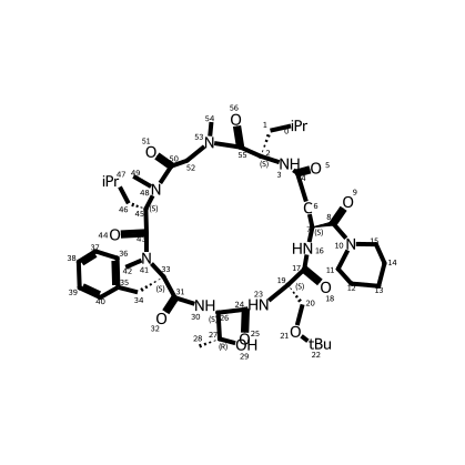 CC(C)C[C@@H]1NC(=O)C[C@@H](C(=O)N2CCCCC2)NC(=O)[C@H](COC(C)(C)C)NC(=O)[C@H]([C@@H](C)O)NC(=O)[C@H](Cc2ccccc2)N(C)C(=O)[C@H](CC(C)C)N(C)C(=O)CN(C)C1=O